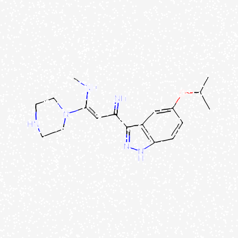 CN/C(=C\C(=N)c1n[nH]c2ccc(OC(C)C)cc12)N1CCNCC1